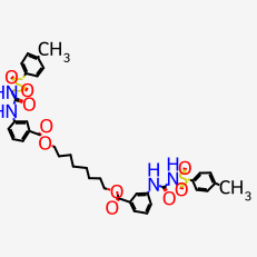 Cc1ccc(S(=O)(=O)NC(=O)Nc2cccc(C(=O)OCCCCCCCCOC(=O)c3cccc(NC(=O)NS(=O)(=O)c4ccc(C)cc4)c3)c2)cc1